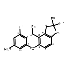 N#Cc1cc(F)cc(Oc2ccc3c(c2CF)CC(F)(F)S3)c1